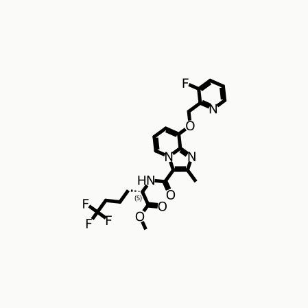 COC(=O)[C@H](CCCC(F)(F)F)NC(=O)c1c(C)nc2c(OCc3ncccc3F)cccn12